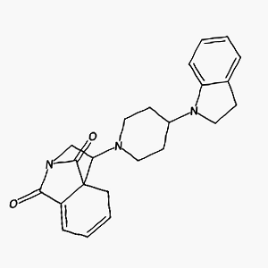 O=C1C2=CC=CCC23C(=O)N1CC3N1CCC(N2CCc3ccccc32)CC1